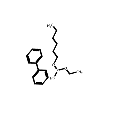 CCCCCCOP(O)OCC.c1ccc(-c2ccccc2)cc1